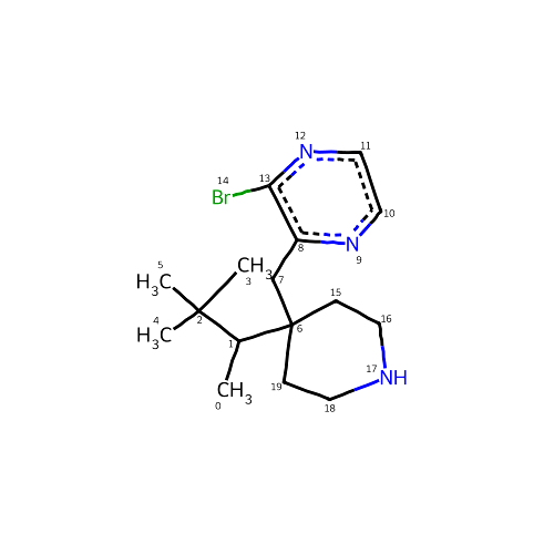 CC(C(C)(C)C)C1(Cc2nccnc2Br)CCNCC1